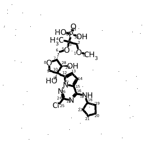 COCC(C)(OC[C@H]1OC[C@](O)(c2ccc3c(NC4CCCC4)nc(Cl)nn23)[C@@H]1O)P(=O)(O)O